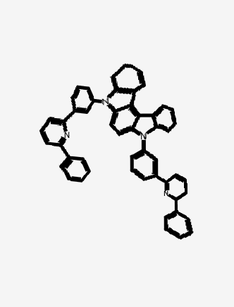 C1=Cc2c(n(-c3cccc(-c4cccc(-c5ccccc5)n4)c3)c3ccc4c(c5ccccc5n4-c4cccc(C5=NC(c6ccccc6)CC=C5)c4)c23)CC1